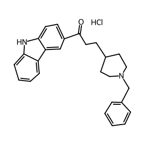 Cl.O=C(CCC1CCN(Cc2ccccc2)CC1)c1ccc2[nH]c3ccccc3c2c1